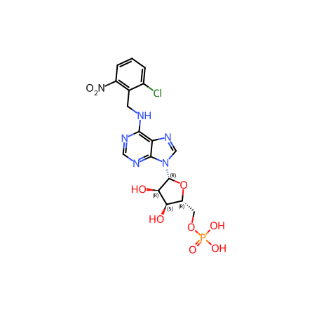 O=[N+]([O-])c1cccc(Cl)c1CNc1ncnc2c1ncn2[C@@H]1O[C@H](COP(=O)(O)O)[C@@H](O)[C@H]1O